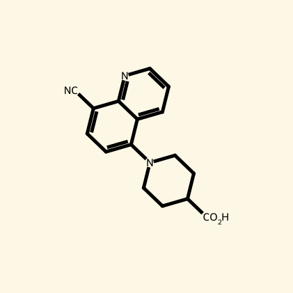 N#Cc1ccc(N2CCC(C(=O)O)CC2)c2cccnc12